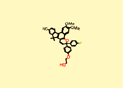 COc1cc2c3c(c4c(c2cc1OC)-c1ccc(C#N)cc1C4(C)C)C=CC(c1ccc(F)cc1)(c1ccc(OCCO)cc1)O3